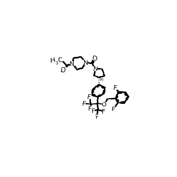 CC(=O)N1CCN(C(=O)N2CC[C@H](c3ccc(C(OCc4c(F)cccc4F)(C(F)(F)F)C(F)(F)F)cc3)C2)CC1